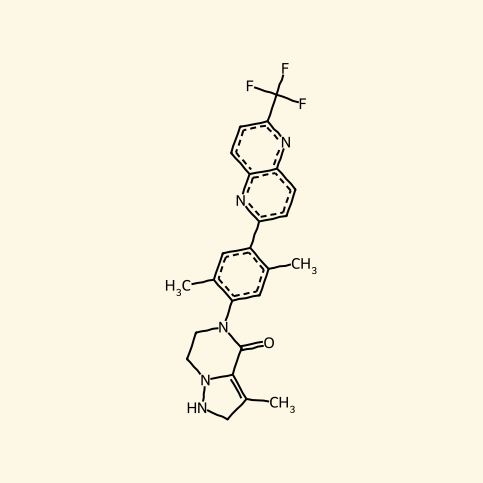 CC1=C2C(=O)N(c3cc(C)c(-c4ccc5nc(C(F)(F)F)ccc5n4)cc3C)CCN2NC1